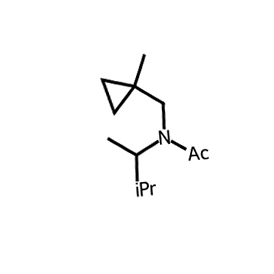 CC(=O)N(CC1(C)CC1)C(C)C(C)C